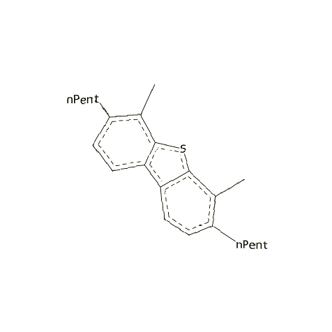 CCCCCc1ccc2c(sc3c(C)c(CCCCC)ccc32)c1C